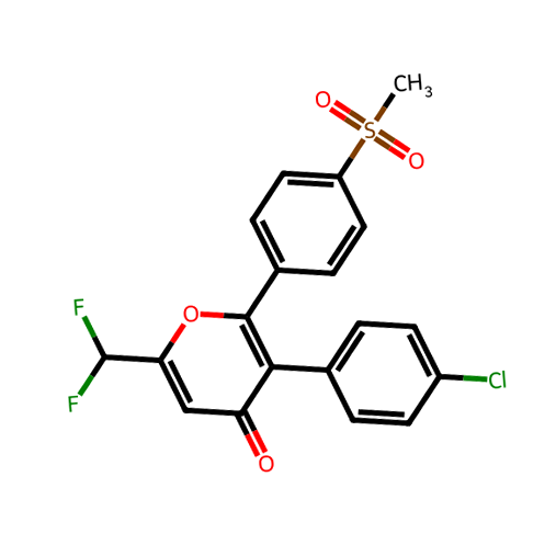 CS(=O)(=O)c1ccc(-c2oc(C(F)F)cc(=O)c2-c2ccc(Cl)cc2)cc1